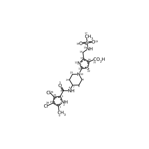 Cc1[nH]c(C(=O)NC2CCN(c3nc(CNS(C)(=O)=O)c(C(=O)O)s3)CC2)c(Cl)c1Cl